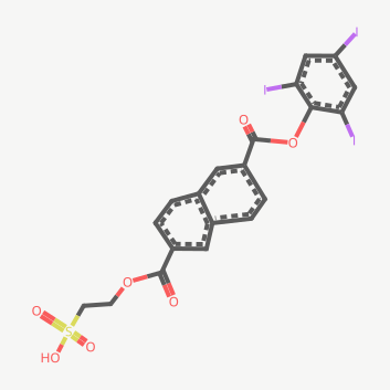 O=C(OCCS(=O)(=O)O)c1ccc2cc(C(=O)Oc3c(I)cc(I)cc3I)ccc2c1